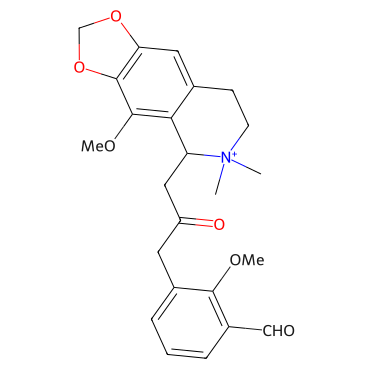 COc1c(C=O)cccc1CC(=O)CC1c2c(cc3c(c2OC)OCO3)CC[N+]1(C)C